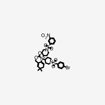 CC1(C)C=C2COC(=O)[N+](C3CCN(S(=O)(=O)c4ccc(Br)cc4)CC3)(C3CCN(S(=O)(=O)c4cccc([N+](=O)[O-])c4)CC3)C2=CC1